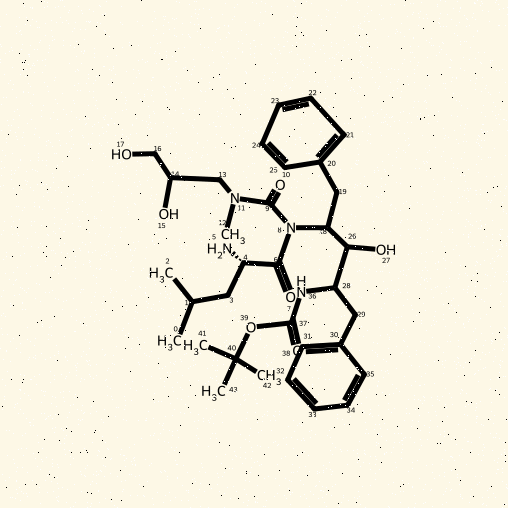 CC(C)C[C@H](N)C(=O)N(C(=O)N(C)CC(O)CO)C(Cc1ccccc1)C(O)C(Cc1ccccc1)NC(=O)OC(C)(C)C